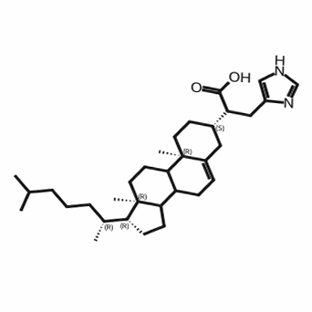 CC(C)CCC[C@@H](C)[C@H]1CCC2C3CC=C4C[C@@H](C(Cc5c[nH]cn5)C(=O)O)CC[C@]4(C)C3CC[C@@]21C